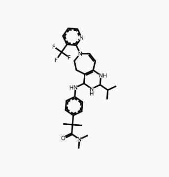 CC(C)C1NC2=C(CCN(c3ncccc3C(F)(F)F)C=C2)C(Nc2ccc(C(C)(C)C(=O)N(C)C)cc2)N1